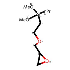 CCC[Si](CCOCC1CO1)(OC)OC